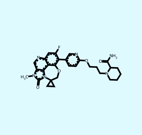 Cn1c(=O)n2c3c4c(c(-c5ccc(OCCCN6CCCCC6C(N)=O)nc5)c(F)cc4ncc31)OCC21CC1